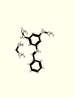 CCO.COc1cc(N=Cc2ccccc2)cc(OC)c1